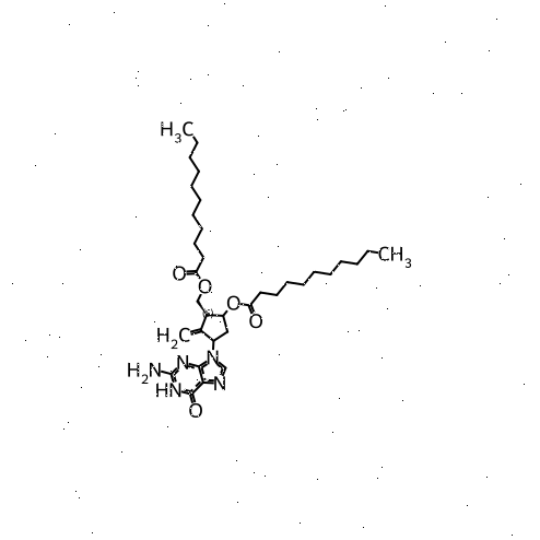 C=C1C(n2cnc3c(=O)[nH]c(N)nc32)CC(OC(=O)CCCCCCCCCC)[C@@H]1COC(=O)CCCCCCCCCC